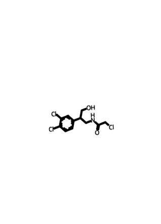 O=C(CCl)NCC(CO)c1ccc(Cl)c(Cl)c1